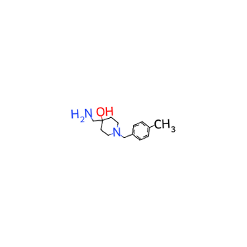 Cc1ccc(CN2CCC(O)(CN)CC2)cc1